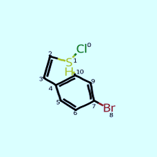 Cl[SH]1C=Cc2ccc(Br)cc21